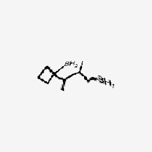 BCC(I)C(C)C1(B)CCC1